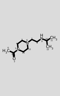 CC(=O)N1CCN(CCNC(C)C)CC1